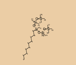 CCCCCCCCCC[Si](C)(O[SiH](C)O[Si](C)(C)C)O[Si](C)(C)O[Si](C)(C)C